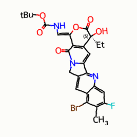 CC[C@@]1(O)C(=O)OC(=CNC(=O)OC(C)(C)C)c2c1cc1n(c2=O)Cc2cc3c(Br)c(C)c(F)cc3nc2-1